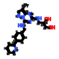 CC(C)c1cnn2c(NCc3ccc(-c4ccccn4)cc3)nc(NC[C@H](O)CO)nc12